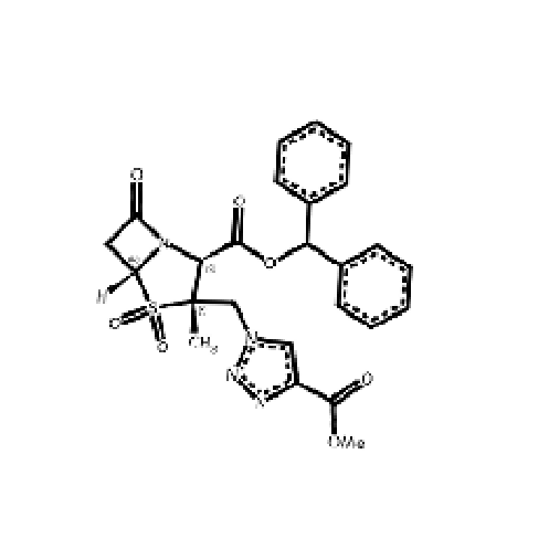 COC(=O)c1cn(C[C@@]2(C)[C@H](C(=O)OC(c3ccccc3)c3ccccc3)N3C(=O)C[C@H]3S2(=O)=O)nn1